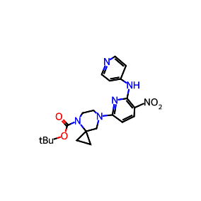 CC(C)(C)OC(=O)N1CCN(c2ccc([N+](=O)[O-])c(Nc3ccncc3)n2)CC12CC2